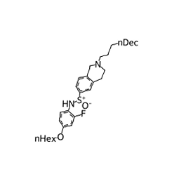 CCCCCCCCCCCCCN1CCc2cc([S+]([O-])Nc3ccc(OCCCCCC)cc3F)ccc2C1